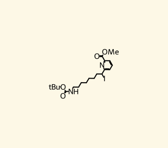 COC(=O)c1cccc(C(I)CCCCCCCNC(=O)OC(C)(C)C)n1